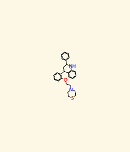 c1ccc(C2CC(c3ccccc3OCCN3CCSCC3)c3ccccc3N2)cc1